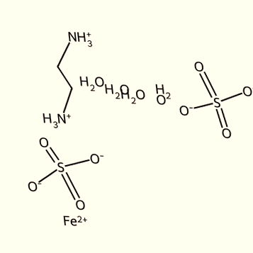 O.O.O.O.O=S(=O)([O-])[O-].O=S(=O)([O-])[O-].[Fe+2].[NH3+]CC[NH3+]